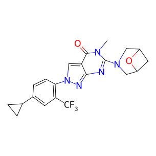 Cn1c(N2CC3CC(C2)O3)nc2nn(-c3ccc(C4CC4)cc3C(F)(F)F)cc2c1=O